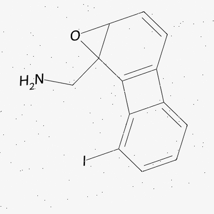 NCC12OC1C=CC1=C2c2c(I)cccc21